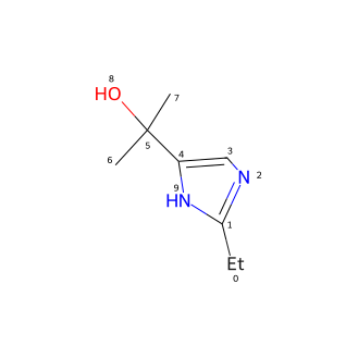 CCc1ncc(C(C)(C)O)[nH]1